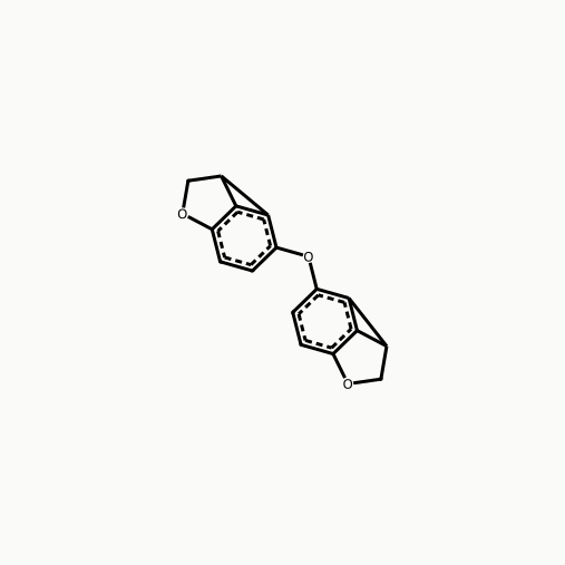 c1cc(Oc2ccc3c4c2C4CO3)c2c3c1OCC32